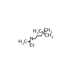 [CH2]/C([CH]C)=N/CCC[N+](C)(C)C